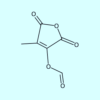 CC1=C(OC=O)C(=O)OC1=O